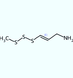 CSSS/C=C/CN